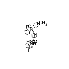 CN1CCN(C(=O)N(Cc2ccc(C(=O)NNC(=O)C(F)(F)F)cn2)c2ccccc2F)CC1